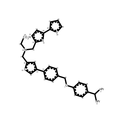 CCCC(CCC)c1ccc(OCc2ccc(-c3csc(CN(CC(=O)O)Cc4ccc(-c5cccs5)s4)c3)cc2)cc1